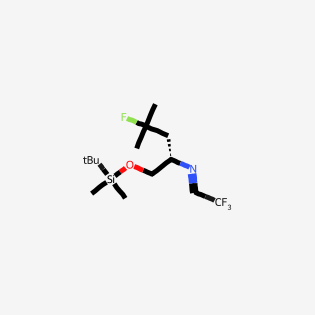 CC(C)(F)C[C@@H](CO[Si](C)(C)C(C)(C)C)/N=C/C(F)(F)F